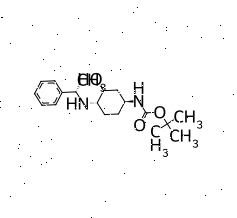 C[C@H](N[C@H]1CC[C@H](NC(=O)OC(C)(C)C)C[C@@H]1O)c1ccccc1